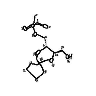 CS(=O)(=O)OC[C@H]1OC2(CCCC2)O[C@@H]1CO